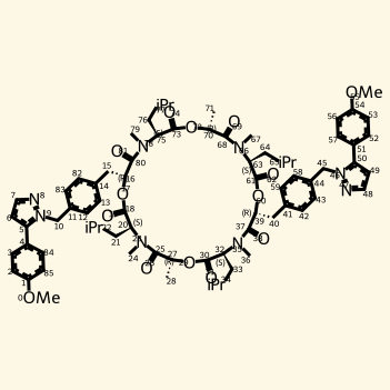 COc1ccc(-c2ccnn2Cc2ccc(C[C@H]3OC(=O)[C@H](CC(C)C)N(C)C(=O)[C@@H](C)OC(=O)[C@H](CC(C)C)N(C)C(=O)[C@@H](Cc4ccc(Cn5nccc5-c5ccc(OC)cc5)cc4)OC(=O)[C@H](CC(C)C)N(C)C(=O)[C@@H](C)OC(=O)[C@H](CC(C)C)N(C)C3=O)cc2)cc1